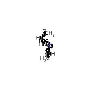 C=CC(=O)Nc1cccc(C2=CC=CC(=C/N=C)/C2=N\CNc2ccc(NC3CN(C(C)=O)C3)cc2)c1